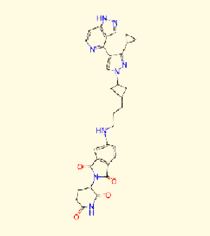 O=C1CCC(N2C(=O)c3ccc(NCCCC4CC(n5cc(-c6nccc7[nH]ncc67)c(C6CC6)n5)C4)cc3C2=O)C(=O)N1